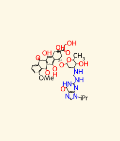 COc1cccc2c1C(=O)c1c(O)c3c(c(O)c1C2=O)C[C@@](O)(C(=O)CO)C[C@@H]3OC1CC(NCNc2nc3c(ncn3C(C)C)c(=O)[nH]2)C(O)C(C)O1